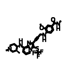 CNC(=O)c1ccc(NCC#Cc2nc3c(N[C@@H]4CCN(C)C[C@@H]4C)cccn3c2SC(F)(F)F)c(OC)c1